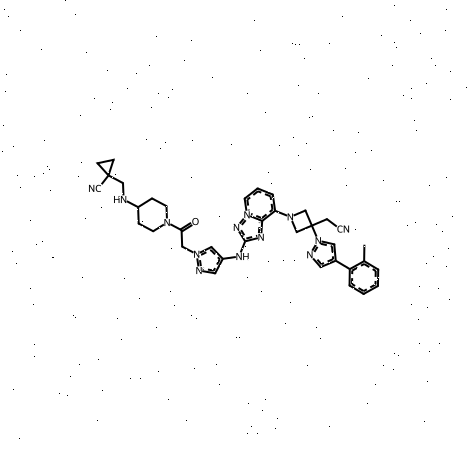 Cc1ccccc1-c1cnn(C2(CC#N)CN(c3cccn4nc(Nc5cnn(CC(=O)N6CCC(NCC7(C#N)CC7)CC6)c5)nc34)C2)c1